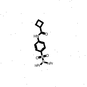 CCCN(CCC)S(=O)(=O)c1ccc(NC(=O)C2CCC2)cc1